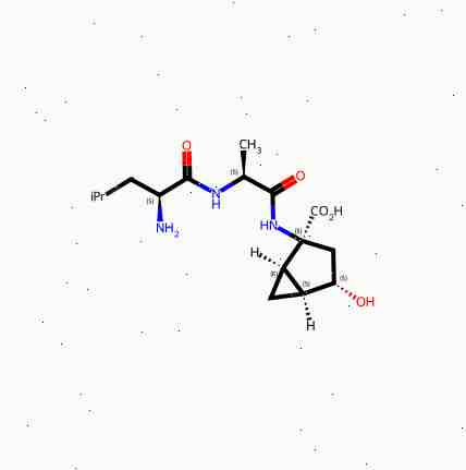 CC(C)C[C@H](N)C(=O)N[C@@H](C)C(=O)N[C@@]1(C(=O)O)C[C@H](O)[C@H]2C[C@H]21